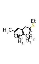 C=C(CC(C=C(C)C)=C(C)C)SCC